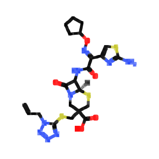 C=CCn1nnnc1SCC1(C(=O)O)CS[C@@H]2C(NC(=O)C(=NOC3CCCC3)c3csc(N)n3)C(=O)N2C1